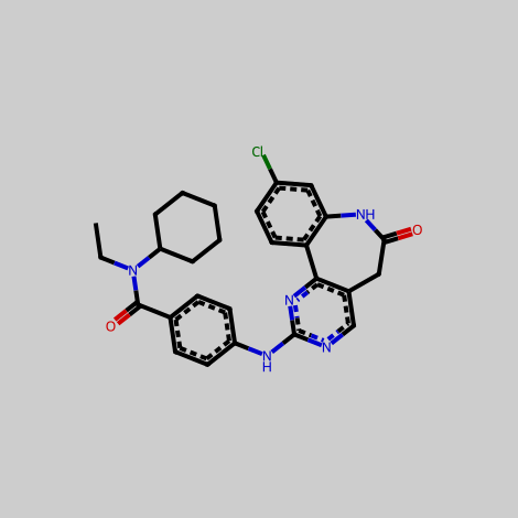 CCN(C(=O)c1ccc(Nc2ncc3c(n2)-c2ccc(Cl)cc2NC(=O)C3)cc1)C1CCCCC1